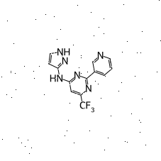 FC(F)(F)c1cc(Nc2cc[nH]n2)nc(-c2cccnc2)n1